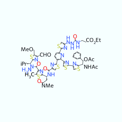 CCOC(=O)CCNC(=O)NNc1csc(-c2ccc(-c3nc(C(=O)N[C@@H](CC(=O)NC)c4nc(C(=O)N(N)[C@H](c5nc(C=O)c(COC)s5)C(C)C)c(C)s4)cs3)c(-c3csc(-c4csc([C@@H](NC(C)=O)[C@@H](OC(C)=O)c5ccccc5)n4)n3)n2)n1